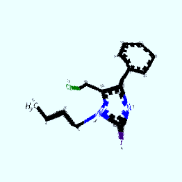 CCCCn1c(I)nc(-c2ccccc2)c1CCl